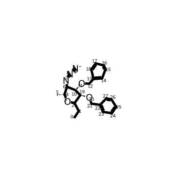 CCC1O[C@H](C)C(N=[N+]=[N-])[C@H](OCc2ccccc2)[C@@H]1OCc1ccccc1